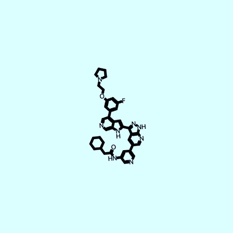 O=C(CC1CCCCC1)Nc1cncc(-c2cnc3[nH]nc(-c4cc5c(-c6cc(F)cc(OCCN7CCCC7)c6)cncc5[nH]4)c3c2)c1